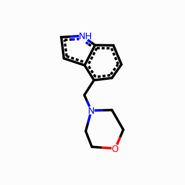 c1cc(CN2CCOCC2)c2cc[nH]c2c1